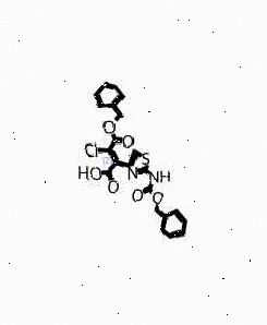 O=C(Nc1nc(/C(C(=O)O)=C(/Cl)C(=O)OCc2ccccc2)cs1)OCc1ccccc1